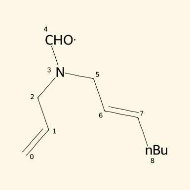 C=CCN([C]=O)CC=CCCCC